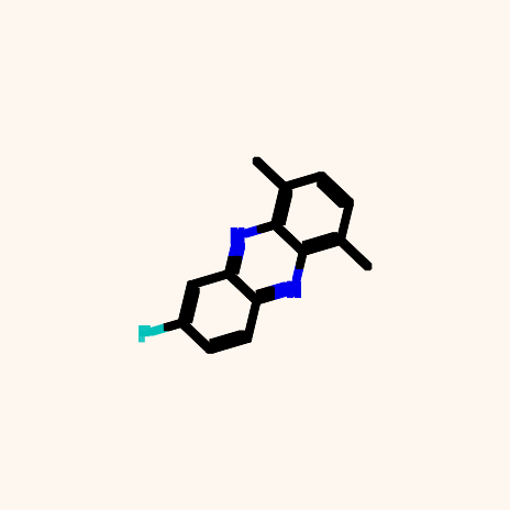 Cc1ccc(C)c2nc3cc(F)ccc3nc12